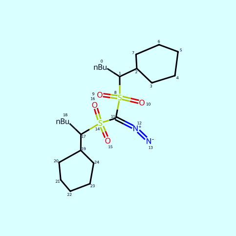 CCCCC(C1CCCCC1)S(=O)(=O)C(=[N+]=[N-])S(=O)(=O)C(CCCC)C1CCCCC1